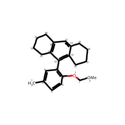 COCOc1ccc(C)cc1-c1c2c(cc3c1CCCC3)CCCC2